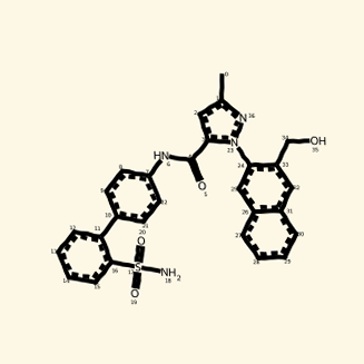 Cc1cc(C(=O)Nc2ccc(-c3ccccc3S(N)(=O)=O)cc2)n(-c2cc3ccccc3cc2CO)n1